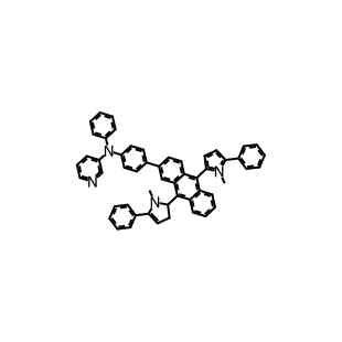 CN1C(c2ccccc2)=CCC1c1c2ccccc2c(-c2ccc(-c3ccccc3)n2C)c2ccc(-c3ccc(N(c4ccccc4)c4cccnc4)cc3)cc12